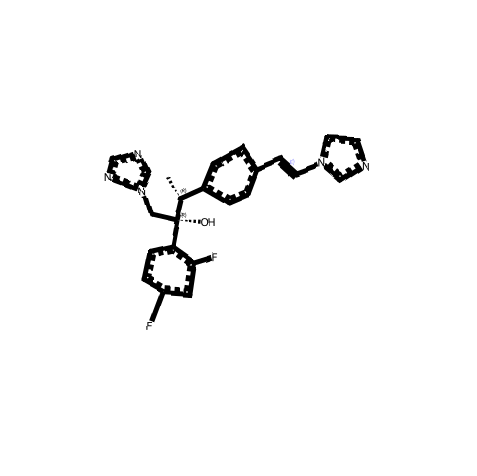 C[C@H](c1ccc(/C=C/n2ccnc2)cc1)[C@](O)(Cn1cncn1)c1ccc(F)cc1F